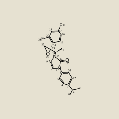 CC(C)c1ccc(-n2cnn([C@H](C)[C@]3(c4ccc(F)cc4F)CO3)c2=O)cc1